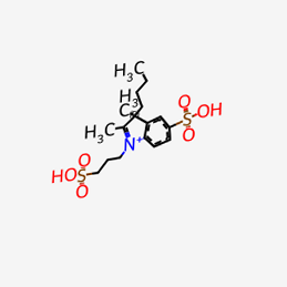 CCCC[C@@]1(C)C(C)=[N+](CCCS(=O)(=O)O)c2ccc(S(=O)(=O)O)cc21